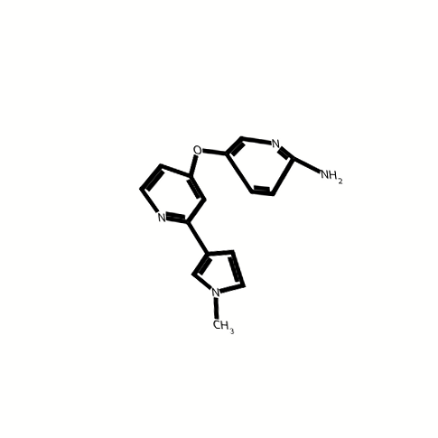 Cn1ccc(-c2cc(Oc3ccc(N)nc3)ccn2)c1